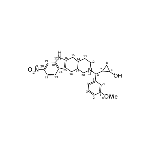 COc1cccc(C(C2CC2O)N2CCC3Cc4[nH]c5cc([N+](=O)[O-])ccc5c4CC3C2)c1